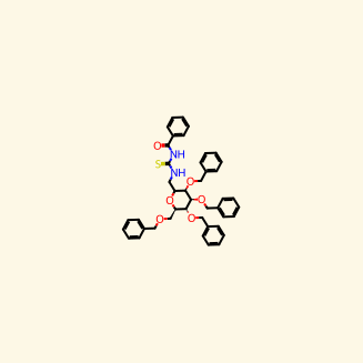 O=C(NC(=S)NCC1O[C@H](COCc2ccccc2)[C@@H](OCc2ccccc2)[C@H](OCc2ccccc2)[C@@H]1OCc1ccccc1)c1ccccc1